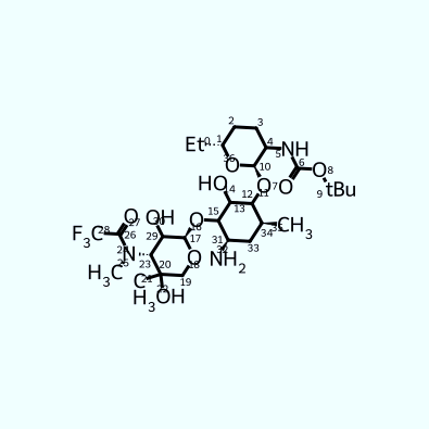 CC[C@@H]1CCC(NC(=O)OC(C)(C)C)[C@@H](OC2C(O)C(O[C@H]3OCC(C)(O)[C@H](N(C)C(=O)C(F)(F)F)C3O)[C@H](N)C[C@@H]2C)O1